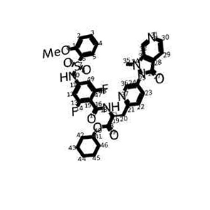 COc1ccccc1S(=O)(=O)Nc1cc(F)c(C(=O)N[C@@H](Cc2ccc(-n3c(=O)c4ccncc4n3C)cn2)C(=O)OC2CCCCC2)c(F)c1